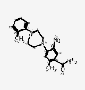 Cc1cc(N2CCN(c3ccccc3C)CC2)c(N=O)cc1C(N)=O